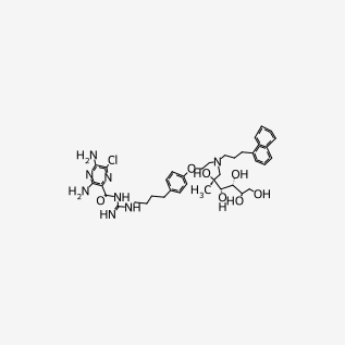 C[C@@](O)(CN(CCCc1cccc2ccccc12)CCOc1ccc(CCCCNC(=N)NC(=O)c2nc(Cl)c(N)nc2N)cc1)[C@@H](O)[C@H](O)[C@H](O)CO